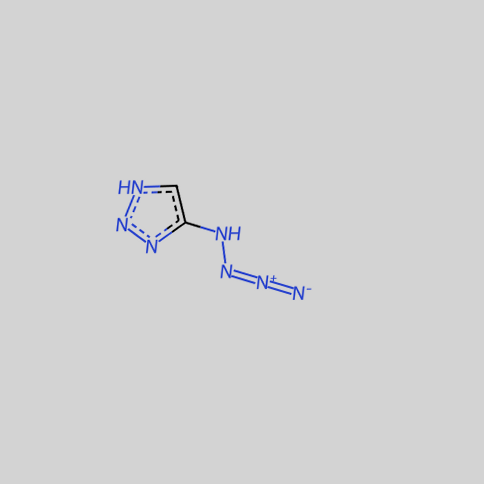 [N-]=[N+]=NNc1c[nH]nn1